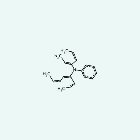 C\C=C/C=C(\C=C/C)N(C(/C=C\C)=C/C)c1ccccc1